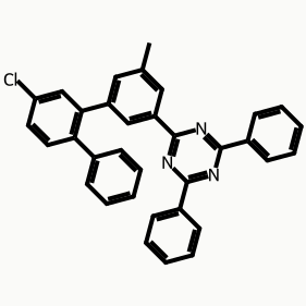 Cc1cc(-c2nc(-c3ccccc3)nc(-c3ccccc3)n2)cc(-c2cc(Cl)ccc2-c2ccccc2)c1